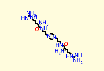 N=C(N)NCCC[C@H](N)C(=O)NCCCN1CCN(CCCNC(=O)[C@@H](N)CCCNC(=N)N)CC1